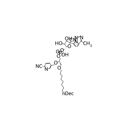 CCCCCCCCCCCCCCCCCCOC[C@H](COP(=O)(O)OC[C@H]1O[C@@](C#N)(c2ccc3c(C)ncnn23)[C@H](O)[C@@H]1O)OCc1ccc(C#N)nc1